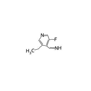 CCc1cncc(F)c1C=N